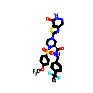 CCC(F)(F)c1ccc(CNC(=O)[C@H]2CN(c3nc4cn[nH]c(=O)c4s3)CCN2S(=O)(=O)c2ccc(OC(F)(F)F)cc2)cc1